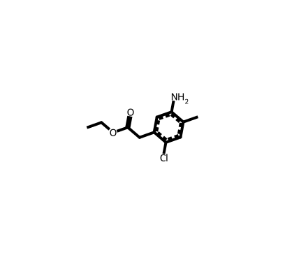 CCOC(=O)Cc1cc(N)c(C)cc1Cl